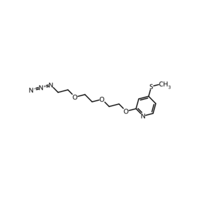 CSc1ccnc(OCCOCCOCCN=[N+]=[N-])c1